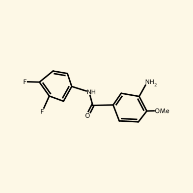 COc1ccc(C(=O)Nc2ccc(F)c(F)c2)cc1N